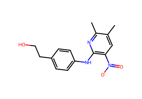 Cc1cc([N+](=O)[O-])c(Nc2ccc(CCO)cc2)nc1C